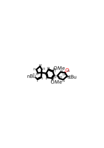 CCCC/C=C\C1(c2cc(OC)c([C@H]3CC[C@H](C(C)(C)C)C(=O)C3)c(OC)c2)CCCC1